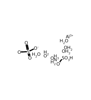 N.O.O.O.O.O.O.O=S(=O)([O-])O.O=S(=O)([O-])[O-].[Al+3]